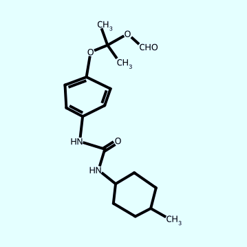 CC1CCC(NC(=O)Nc2ccc(OC(C)(C)OC=O)cc2)CC1